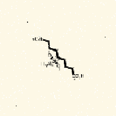 CCCCCCCCCCCCCCCC(=O)O.O=[Si]=O.[AlH3]